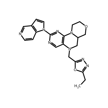 CCc1nnc(CN2CC3COCCN3c3nc(-n4ccc5cnccc54)ncc32)o1